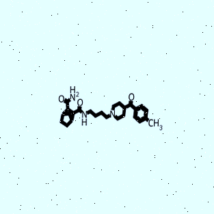 Cc1ccc(C(=O)C2CCN(CCCCNC(=O)C3C4CCC(C4)C3C(N)=O)CC2)cc1